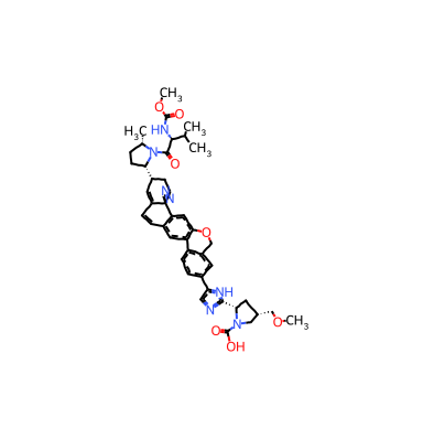 COC[C@H]1C[C@@H](c2ncc(-c3ccc4c(c3)COc3cc5c(cc3-4)C=CC3=CC([C@@H]4CC[C@H](C)N4C(=O)[C@@H](NC(=O)OC)C(C)C)CC4=NN=CC345)[nH]2)N(C(=O)O)C1